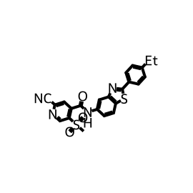 CCc1ccc(-c2nc3cc(NC(=O)c4cc(C#N)ncc4S(C)(=O)=O)ccc3s2)cc1